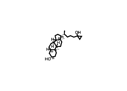 CC(CCCC1(O)CC1)[C@H]1CC[C@H]2[C@@H]3CC[C@H]4C[C@@H](O)CC[C@]4(C)[C@H]3CC[C@]12C